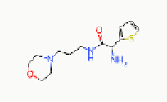 NC(C(=O)NCCCN1CCOCC1)c1cccs1